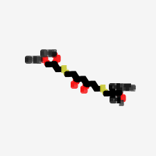 COC(=O)C(C)(C)CSCCC(=O)CC(=O)CCSCC(COC=O)OC=O